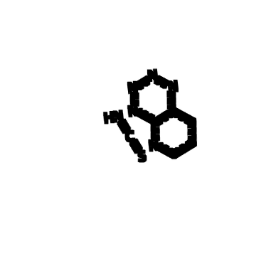 N=C=S.c1cnc2nnnnc2c1